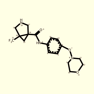 O=C(Nc1ccc(ON2CCOCC2)cc1)C12CNCC1(C(F)(F)F)C2